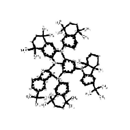 CC(C)(C)c1ccc2c(c1)C1(C)CCCCC1(C)N2c1cc2c3c(c1)N(c1ccc4c(c1)C(C)(C)CCC4(C)C)c1c(oc4ccc(C(C)(C)C)cc14)B3c1cc3c(cc1N2c1ccc2c(c1)C(C)(C)CCC2(C)C)C(C)(C)CCC3(C)C